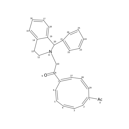 CC(=O)c1cccccc(C(=O)CN2CCc3ccccc3C2c2ccccc2)ccc1